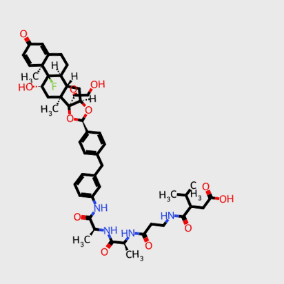 CC(C)C(CC(=O)O)C(=O)NCCC(=O)N[C@@H](C)C(=O)N[C@@H](C)C(=O)Nc1cccc(Cc2ccc([C@@H]3O[C@@H]4C[C@H]5[C@@H]6CCC7=CC(=O)C=C[C@]7(C)[C@@]6(F)[C@@H](O)C[C@]5(C)[C@]4(C(=O)CO)O3)cc2)c1